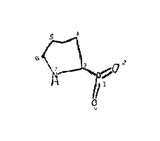 O=P(=O)C1CCCN1